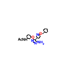 CC(=O)Nc1cccc(Oc2ncnc(N)c2-c2ccc(OCc3ccccc3)nc2)c1